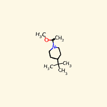 C=C(OC)N1CCC(C(C)(C)C)CC1